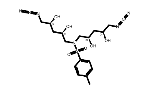 Cc1ccc(S(=O)(=O)N(C[C@H](O)C[C@H](O)CN=[N+]=[N-])C[C@H](O)C[C@H](O)CN=[N+]=[N-])cc1